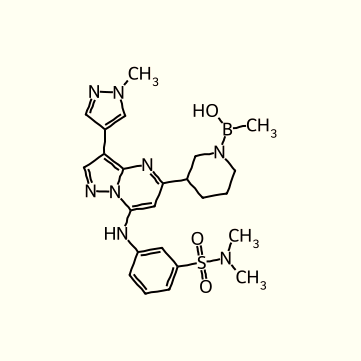 CB(O)N1CCCC(c2cc(Nc3cccc(S(=O)(=O)N(C)C)c3)n3ncc(-c4cnn(C)c4)c3n2)C1